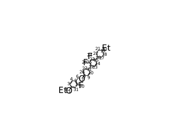 CCOc1ccc(COc2ccc(-c3ccc(C4CCC(CC)CC4)c(F)c3F)cc2)c(F)c1